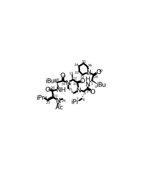 CC[C@H](C)[C@H](NC(=O)[C@H](CC(C)C)N(C)C(=O)[C@H](C)N(C)C(=O)[C@@H](NC(=O)/C(=C\C(C)C)N(C)C(C)=O)[C@@H](C)CC)C(=O)N1CCCCC1